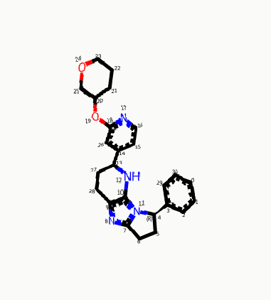 c1ccc([C@H]2CCc3nc4c(n32)NC(c2ccnc(OC3CCCOC3)c2)CC4)cc1